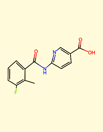 Cc1c(F)cccc1C(=O)Nc1ccc(C(=O)O)cn1